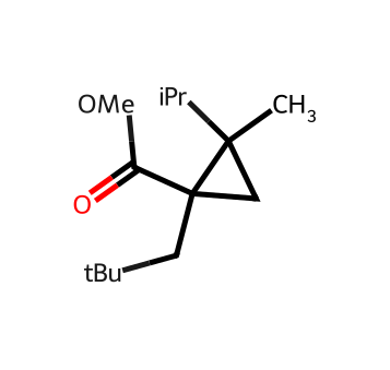 COC(=O)C1(CC(C)(C)C)CC1(C)C(C)C